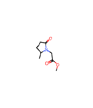 COC(=O)CN1C(=O)CCC1C